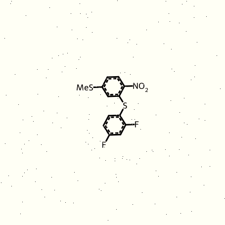 CSc1ccc([N+](=O)[O-])c(Sc2ccc(F)cc2F)c1